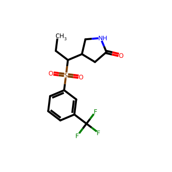 CCC(C1CNC(=O)C1)S(=O)(=O)c1cccc(C(F)(F)F)c1